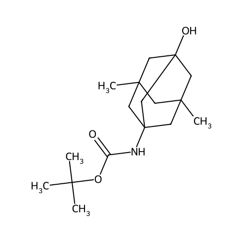 CC12CC3(C)CC(O)(C1)CC(NC(=O)OC(C)(C)C)(C2)C3